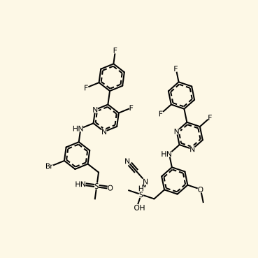 COc1cc(C[SH](C)(O)=NC#N)cc(Nc2ncc(F)c(-c3ccc(F)cc3F)n2)c1.CS(=N)(=O)Cc1cc(Br)cc(Nc2ncc(F)c(-c3ccc(F)cc3F)n2)c1